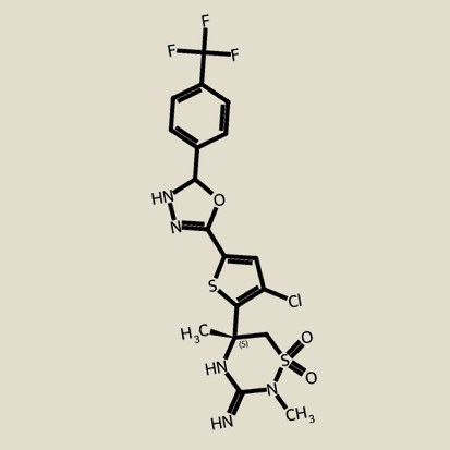 CN1C(=N)N[C@](C)(c2sc(C3=NNC(c4ccc(C(F)(F)F)cc4)O3)cc2Cl)CS1(=O)=O